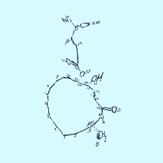 C[C@@H]1CCCCCCCCC[C@H](OC(=O)CCC(=O)O)[C@H](O)/C=C/C(=O)O1